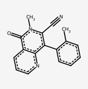 Cc1ccccc1-c1c(C#N)n(C)c(=O)c2cccnc12